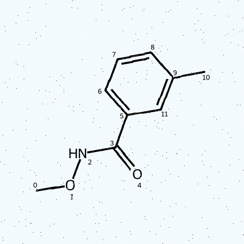 CONC(=O)c1cccc(C)c1